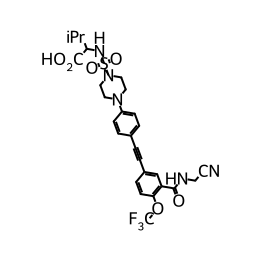 CC(C)C(NS(=O)(=O)N1CCN(c2ccc(C#Cc3ccc(OC(F)(F)F)c(C(=O)NCC#N)c3)cc2)CC1)C(=O)O